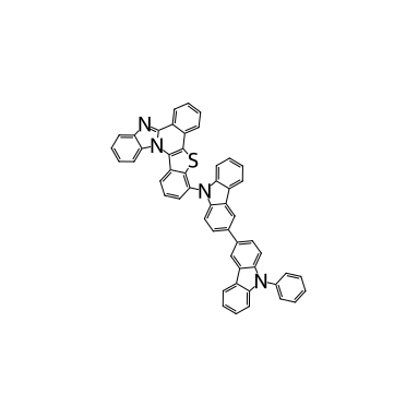 c1ccc(-n2c3ccccc3c3cc(-c4ccc5c(c4)c4ccccc4n5-c4cccc5c4sc4c6ccccc6c6nc7ccccc7n6c54)ccc32)cc1